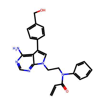 C=CC(=O)N(CCn1cc(-c2ccc(CO)cc2)c2c(N)ncnc21)c1ccccc1